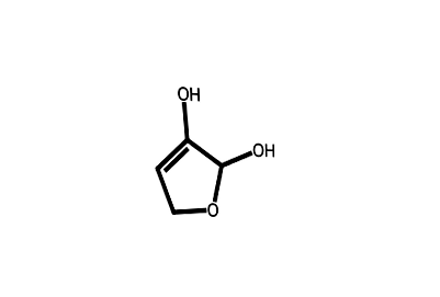 OC1=CCOC1O